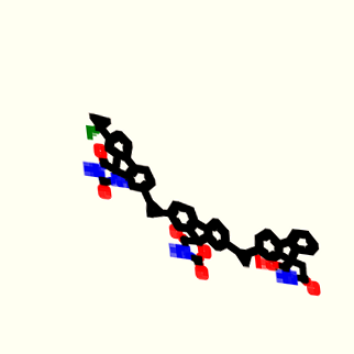 O=C1CC2(c3ccccc3-c3ccc(C4CC4c4ccc5c(c4)C4(OC(=O)NC4=O)c4cc(C6CC6c6ccc7c(c6)C6(NC(=O)NC6=O)c6cc(C8(F)CC8)ccc6-7)ccc4-5)cc32)C(O)N1